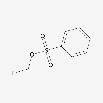 O=S(=O)(OCF)c1ccccc1